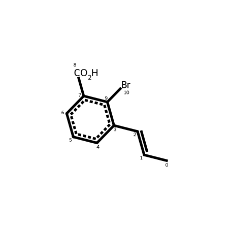 CC=Cc1cccc(C(=O)O)c1Br